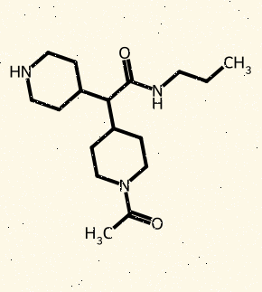 CCCNC(=O)C(C1CCNCC1)C1CCN(C(C)=O)CC1